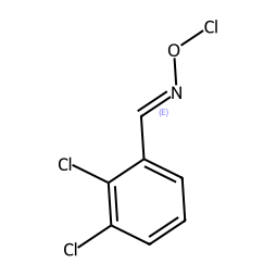 ClO/N=C/c1cccc(Cl)c1Cl